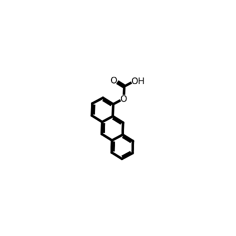 O=C(O)Oc1cccc2cc3ccccc3cc12